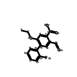 CCOc1cc([N+](=O)[O-])c(C=O)cc1-c1ccccc1F